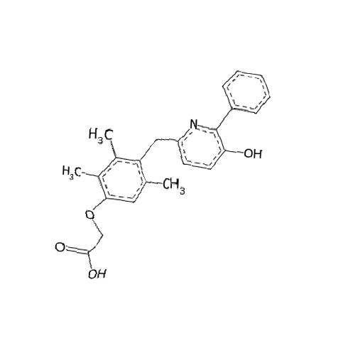 Cc1cc(OCC(=O)O)c(C)c(C)c1Cc1ccc(O)c(-c2ccccc2)n1